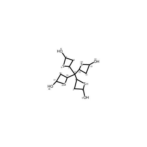 OC1CC(C(C2CC(O)S2)(C2CC(O)S2)C2CC(O)S2)S1